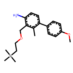 COc1ccc(-c2ccc(N)c([CH]OCC[Si](C)(C)C)c2C)cc1